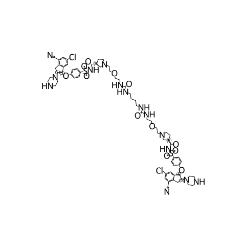 N#Cc1cc(Cl)cc2c1C[C@H](N1CCNCC1)[C@H]2Oc1ccc(S(=O)(=O)NC(=O)[C@@H]2CCN(CCOCCNC(=O)NCCCCNC(=O)NCCOCCN3CC[C@@H](C(=O)NS(=O)(=O)c4ccc(O[C@H]5c6cc(Cl)cc(C#N)c6C[C@@H]5N5CCNCC5)cc4)C3)C2)cc1